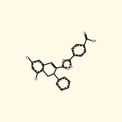 O=C(O)c1ccc(-c2noc(C3=Cc4cc(Cl)cc(Cl)c4CC3c3ccccc3)n2)cc1